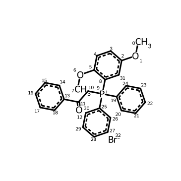 COc1ccc(OC)c([P+](CC(=O)c2ccccc2)(c2ccccc2)c2ccccc2)c1.[Br-]